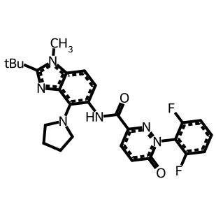 Cn1c(C(C)(C)C)nc2c(N3CCCC3)c(NC(=O)c3ccc(=O)n(-c4c(F)cccc4F)n3)ccc21